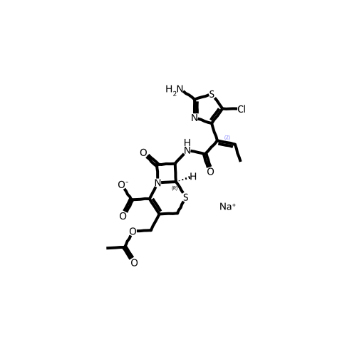 C/C=C(\C(=O)NC1C(=O)N2C(C(=O)[O-])=C(COC(C)=O)CS[C@H]12)c1nc(N)sc1Cl.[Na+]